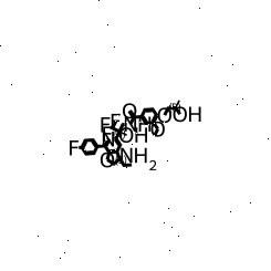 CC[C@@]1(N)COc2c1cc([C@@](O)(CNC(=O)c1ccc(OC[C@@H](C)O)c(OC)c1)C(F)(F)F)nc2-c1ccc(F)cc1